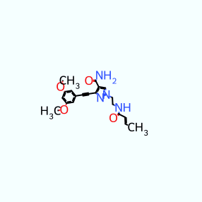 CC=CC(=O)NCCn1cc(C(N)=O)c(C#Cc2cc(OC)cc(OC)c2)n1